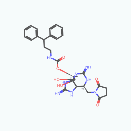 N=C1NC2[C@H](CN3C(=O)CCC3=O)NC(=N)N3C[C@H](OC(=O)NCCC(c4ccccc4)c4ccccc4)C(O)(O)C23N1